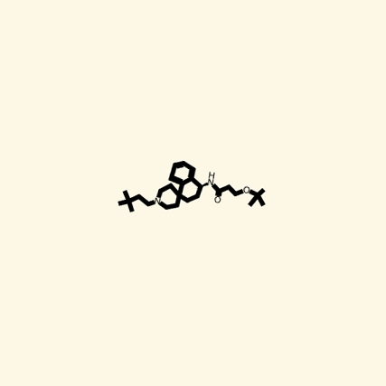 CC(C)(C)CCN1CCC2(CC[C@H](NC(=O)CCOC(C)(C)C)c3ccccc32)CC1